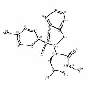 O=C(NO)[C@@H](CC(F)F)N(Cc1cccnc1)S(=O)(=O)c1ccc(O)cc1